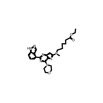 CCOC(=O)CCCCCN(C)c1cc2nc(-c3cccc4[nH]ncc34)nc(N3CCOCC3)c2s1